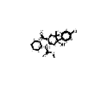 COC(=O)N[C@@H]1CCCC[C@@H]1C(=O)N1CC[C@](O)(c2ccc(Cl)cc2)C(C)(C)C1